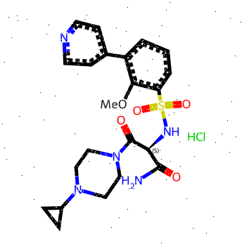 COc1c(-c2ccncc2)cccc1S(=O)(=O)N[C@@H](C(N)=O)C(=O)N1CCN(C2CC2)CC1.Cl